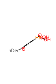 CCCCCCCCCCCCCC(=O)CCCCCCCCC=CCCCCCCCC(=O)POCC(O)CO